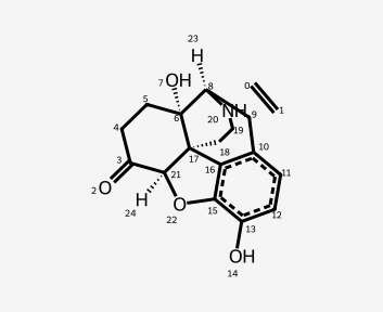 C=C.O=C1CC[C@@]2(O)[C@H]3Cc4ccc(O)c5c4[C@@]2(CCN3)[C@H]1O5